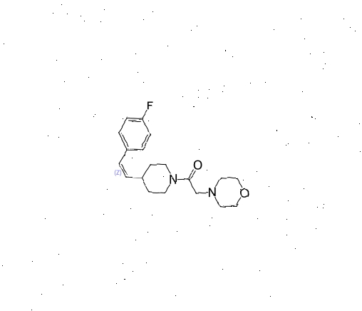 O=C(CN1CCOCC1)N1CCC(/C=C\c2ccc(F)cc2)CC1